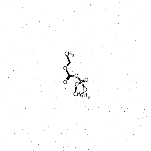 CCOC(=O)OP(=O)(OC)OC